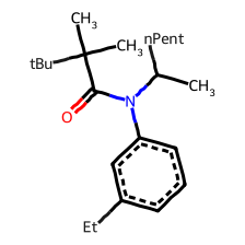 CCCCCC(C)N(C(=O)C(C)(C)C(C)(C)C)c1cccc(CC)c1